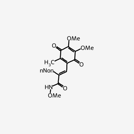 CCCCCCCCCC(=CC1=C(C)C(=O)C(OC)=C(OC)C1=O)C(=O)NOC